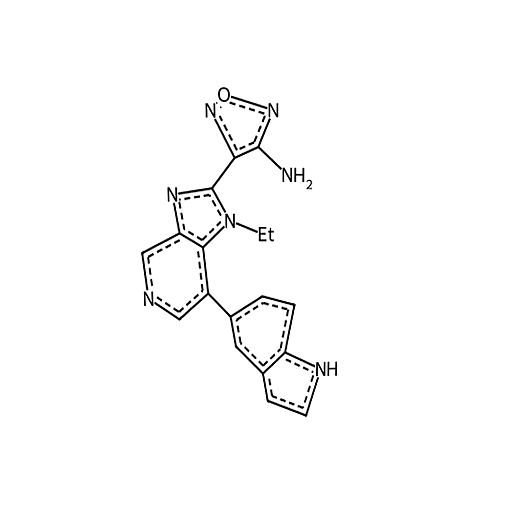 CCn1c(-c2nonc2N)nc2cncc(-c3ccc4[nH]ccc4c3)c21